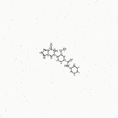 CCOc1cc(C(=O)Nc2ccccn2)ccc1-c1nc2[nH]nnc2c(=O)[nH]1